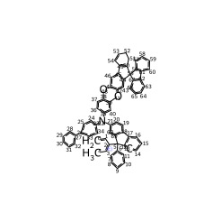 C=C/C(=C\C)C1(c2ccccc2)c2ccccc2-c2ccc(N(c3ccc(-c4ccccc4)cc3)c3ccc4c(c3)Oc3cc5c(cc3O4)C3=C(CCC=C3)C53c4ccccc4-c4ccccc43)cc21